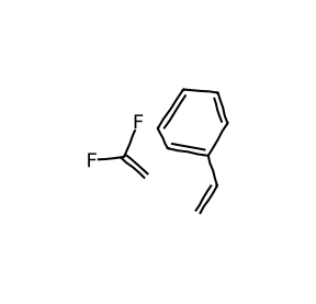 C=C(F)F.C=Cc1ccccc1